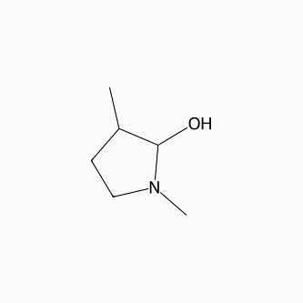 CC1CCN(C)C1O